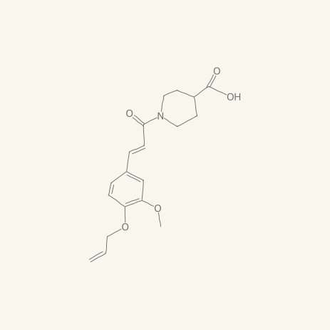 C=CCOc1ccc(C=CC(=O)N2CCC(C(=O)O)CC2)cc1OC